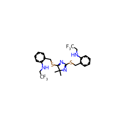 CC1(C)N=C(SCc2ccccc2NCC(F)(F)F)N=C1SCc1ccccc1NCC(F)(F)F